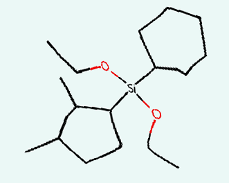 CCO[Si](OCC)(C1CCCCC1)C1CCC(C)C1C